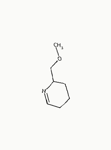 COCC1CCCC=N1